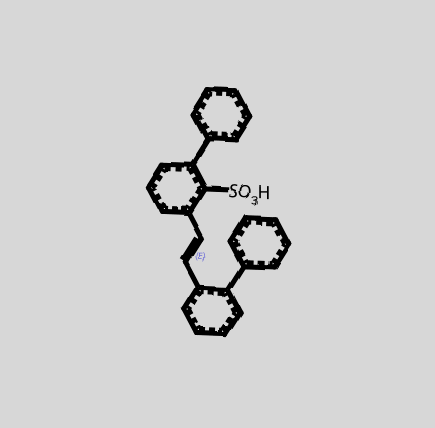 O=S(=O)(O)c1c(/C=C/c2ccccc2-c2ccccc2)cccc1-c1ccccc1